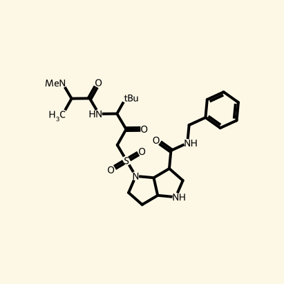 CNC(C)C(=O)NC(C(=O)CS(=O)(=O)N1CCC2NCC(C(=O)NCc3ccccc3)C21)C(C)(C)C